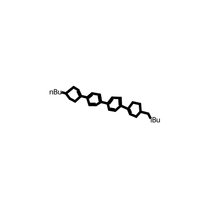 CCCCC1CC=C(c2ccc(-c3ccc(C4=CCC(CC(C)CC)CC4)cc3)cc2)CC1